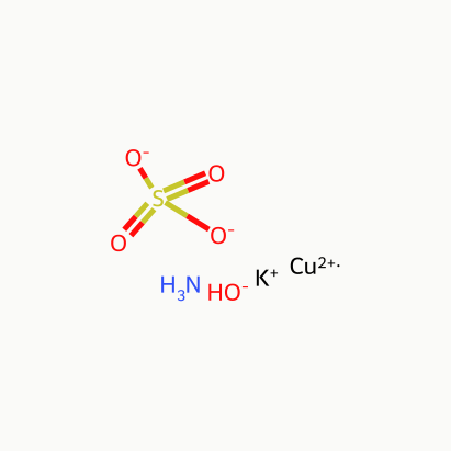 N.O=S(=O)([O-])[O-].[Cu+2].[K+].[OH-]